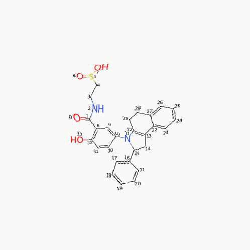 O=C(NCCS(=O)O)c1cc(N2C3=C(CC2c2ccccc2)c2ccccc2CC3)ccc1O